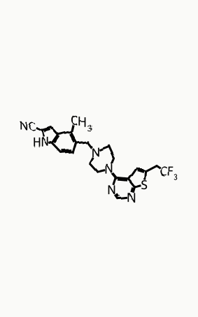 Cc1c(CN2CCN(c3ncnc4sc(CC(F)(F)F)cc34)CC2)ccc2[nH]c(C#N)cc12